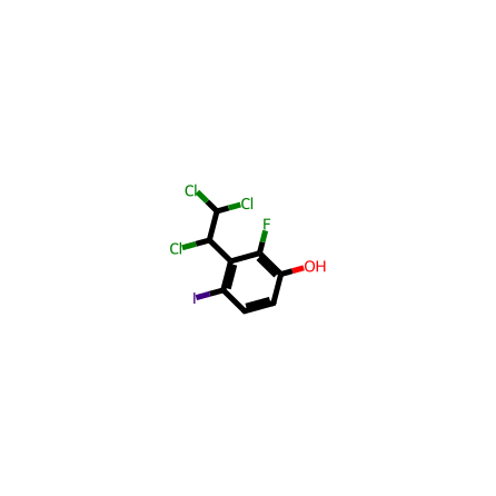 Oc1ccc(I)c(C(Cl)C(Cl)Cl)c1F